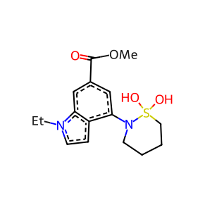 CCn1ccc2c(N3CCCCS3(O)O)cc(C(=O)OC)cc21